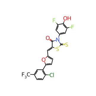 O=C1C(=Cc2ccc(-c3cc(C(F)(F)F)ccc3Cl)o2)SC(=S)N1c1cc(F)c(O)c(F)c1